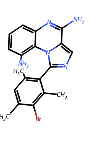 Cc1cc(C)c(-c2ncc3c(N)nc4cccc(N)c4n23)c(C)c1Br